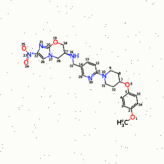 COc1ccc(OC2CCN(c3ccc(CN[C@@H]4COc5nc([N+](=O)[O-])cn5C4)cn3)CC2)cc1